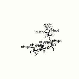 CCCCCCCS(CCCCCCC)=P([O-])([O-])[S-].CCCCCCCS(CCCCCCC)=P([O-])([O-])[S-].CCCCCCCS(CCCCCCC)=P([O-])([O-])[S-].CCCCCCCS(CCCCCCC)=P([O-])([O-])[S-].[Mo+4].[Mo+4].[Mo+4]